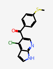 CSc1ccc(C(=O)c2cnc3[nH]ccc3c2Cl)cc1